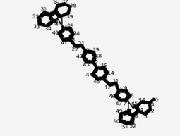 CC1C=Cc2c(n(-c3ccc(/C=C/c4ccc(-c5ccc(/C=C/c6ccc(-n7c8c(c9ccccc97)C=CCC8)cc6)cc5)cc4)cc3)c3ccccc23)C1